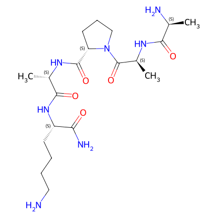 C[C@H](N)C(=O)N[C@@H](C)C(=O)N1CCC[C@H]1C(=O)N[C@@H](C)C(=O)N[C@@H](CCCCN)C(N)=O